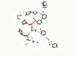 Cc1ccc(S(=O)(=O)OCCOc2ccc(S(=O)(=O)NC(=O)C[C@@H]3NC(=O)[C@H](NC(=O)[C@@H](CC(C)C)N(C)C(=O)OC(C)(C)C)[C@H](O)c4ccc(c(Cl)c4)Oc4cc5cc(c4O[C@@H]4O[C@H](CN)[C@@H](O)[C@H](O)[C@H]4O)Oc4ccc(cc4Cl)[C@@H](O)[C@@H]4NC(=O)[C@H](NC(=O)[C@@H]5NC3=O)c3ccc(O)c(c3)-c3c(O)cc(O)cc3[C@@H](C(=O)NC3C5CC6CC(C5)CC3C6)NC4=O)cc2)cc1